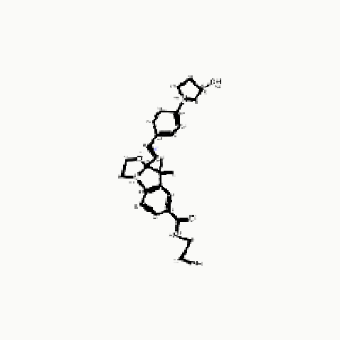 CC1(C)c2cc(C(=O)NCCS)ccc2N2CCOC21/C=C/C1=CC=C(N2CC[C@@H](O)C2)CC1